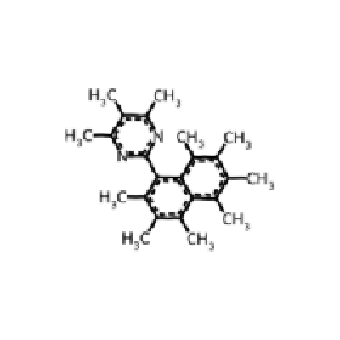 Cc1nc(-c2c(C)c(C)c(C)c3c(C)c(C)c(C)c(C)c23)nc(C)c1C